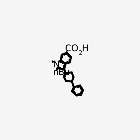 CCCCc1c(C2=CCC(c3ccccc3)CC2)c2ccc(C(=O)O)cc2n1C